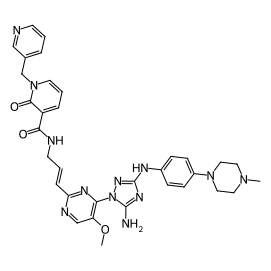 COc1cnc(C=CCNC(=O)c2cccn(Cc3cccnc3)c2=O)nc1-n1nc(Nc2ccc(N3CCN(C)CC3)cc2)nc1N